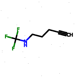 C#CCCCNC(F)(F)F